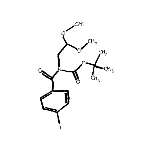 COC(CN(C(=O)OC(C)(C)C)C(=O)c1ccc(I)cc1)OC